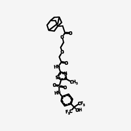 Cc1nc(NC(=O)COCCOC(=O)CC23CC4CC(CC(C4)C2)C3)sc1S(=O)(=O)Nc1ccc(C(O)(C(F)(F)F)C(F)(F)F)cc1